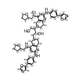 CCN(CC1CCCO1)c1nc(Nc2ccc(-c3cnco3)cc2)nc2c1CN(C(CO)[C@H](O)CN1CCc3nc(Nc4ccc(-c5cnco5)cc4)nc(NCC4CCCO4)c3C1)CC2